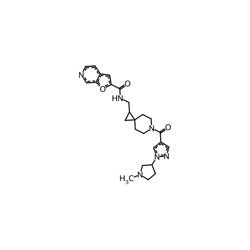 CN1CCC(n2cc(C(=O)N3CCC4(CC3)CC4CNC(=O)c3cc4ccncc4o3)cn2)C1